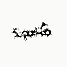 C[C@H](CN1CCc2nc3c(cc2C1=O)nc(-c1cc2ccccc2n1CC1CC1)n3C)NC(=O)O